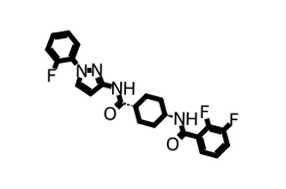 O=C(N[C@H]1CC[C@@H](C(=O)Nc2ccn(-c3ccccc3F)n2)CC1)c1cccc(F)c1F